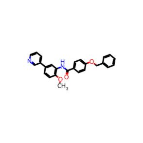 COc1ccc(-c2cccnc2)cc1NC(=O)c1ccc(OCc2ccccc2)cc1